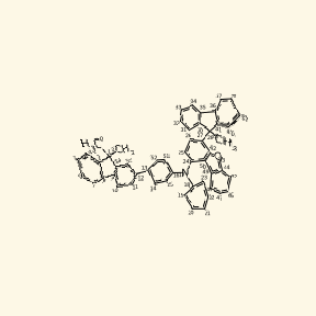 CC1(C)c2ccccc2-c2ccc(-c3ccc(N(c4ccccc4)c4ccc(C5(C)c6ccccc6-c6ccccc65)c5oc6ccccc6c45)cc3)cc21